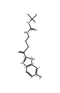 C=C(CCCNC(=O)OC(C)(C)C)c1nc2ccc(Br)cc2[nH]1